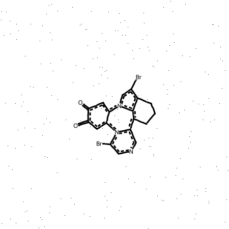 O=c1cc2n3cc(Br)c4c3c(c3cncc(Br)n3c-2cc1=O)CCC4